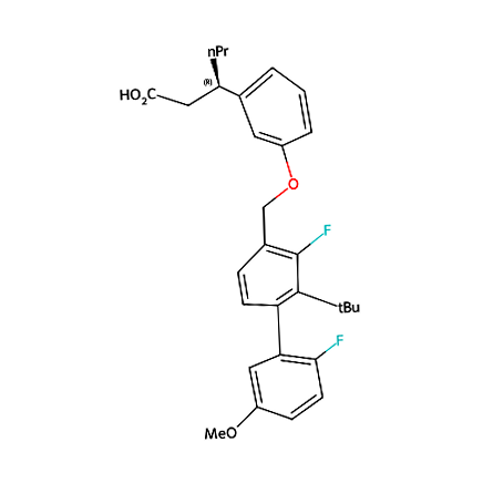 CCC[C@H](CC(=O)O)c1cccc(OCc2ccc(-c3cc(OC)ccc3F)c(C(C)(C)C)c2F)c1